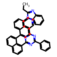 CCc1nc2ccccc2n1-c1cccc2c(-c3cccc4cccc(-c5nc(-c6ccccc6)nc(-c6cccnc6)n5)c34)cccc12